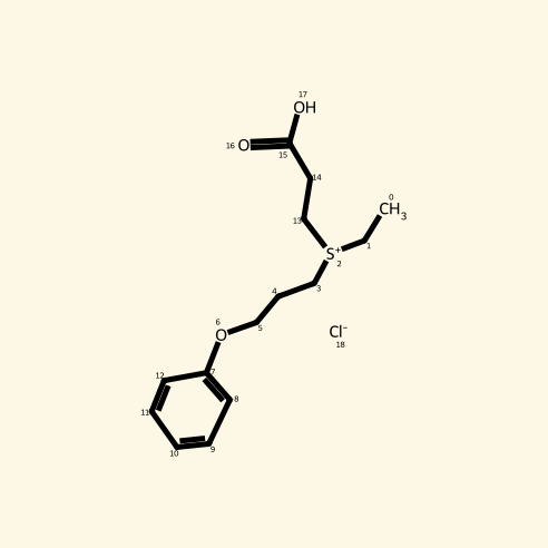 CC[S+](CCCOc1ccccc1)CCC(=O)O.[Cl-]